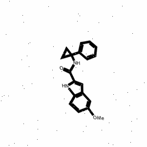 COc1ccc2[nH]c(C(=O)NC3(c4ccccc4)CC3)cc2c1